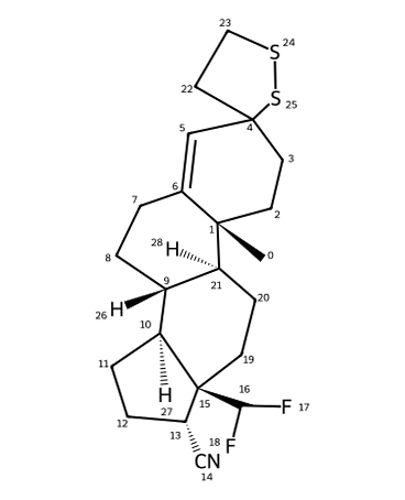 C[C@]12CCC3(C=C1CC[C@H]1[C@@H]4CC[C@@H](C#N)[C@@]4(C(F)F)CC[C@@H]12)CCSS3